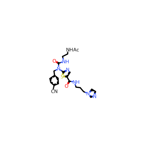 CC(=O)NCCNC(=O)N(Cc1ccc(C#N)cc1)c1ncc(C(=O)NCCCn2ccnc2)s1